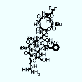 CC[C@H](C)[C@H](NC(=O)[C@@H](Cc1ccccc1)NC)C(=O)N[C@@H](CO)C(=O)N[C@H](CCCNC(=N)N)C(=O)N[C@@H](C(=O)N[C@H](C(=O)N[C@@H](CO)C(=O)N[C@H]1C(=O)N[C@@H](C)C(=O)NC2(CC2CC(F)F)C(=O)N[C@@H]([C@@H](C)CC)C(=O)O[C@H]1C)[C@@H](C)CC)[C@@H](C)CC